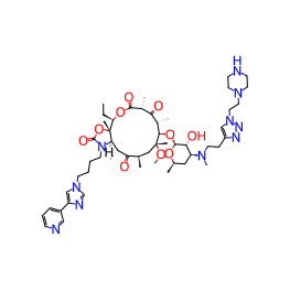 CC[C@H]1OC(=O)[C@H](C)C(=O)[C@H](C)[C@@H](O[C@@H]2O[C@H](C)C[C@H](N(C)CCc3cn(CCN4CCNCC4)nn3)[C@H]2O)[C@](C)(OC)C[C@@H](C)C(=O)[C@H](C)[C@H]2N(CCCCn3cnc(-c4cccnc4)c3)C(=O)O[C@]12C